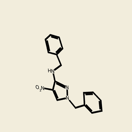 O=[N+]([O-])c1cn(Cc2ccccc2)nc1NCc1ccccc1